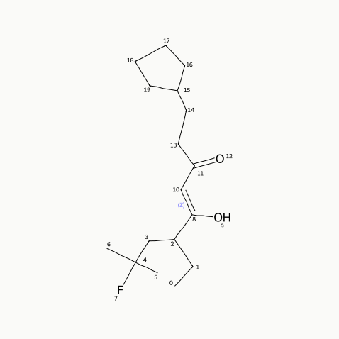 CCC(CC(C)(C)F)/C(O)=C/C(=O)CCC1CCCC1